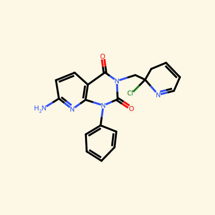 Nc1ccc2c(=O)n(CC3(Cl)CC=CC=N3)c(=O)n(-c3ccccc3)c2n1